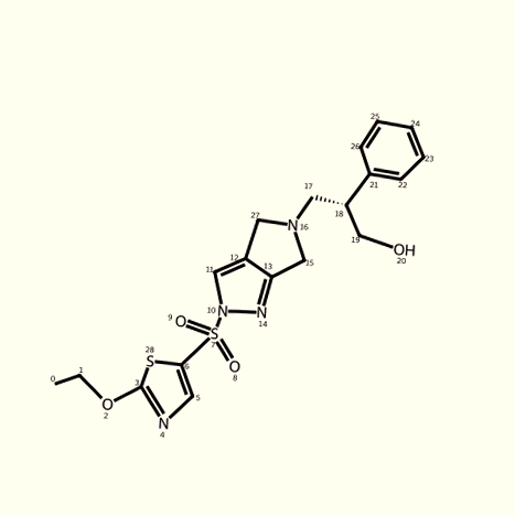 CCOc1ncc(S(=O)(=O)n2cc3c(n2)CN(C[C@@H](CO)c2ccccc2)C3)s1